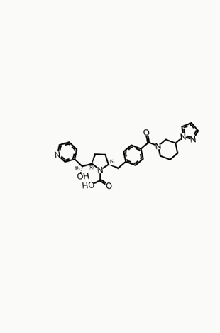 O=C(c1ccc(C[C@@H]2CC[C@H]([C@H](O)c3cccnc3)N2C(=O)O)cc1)N1CCCC(n2cccn2)C1